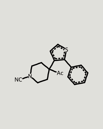 CC(=O)C1(c2ccsc2-c2ccccc2)CCN(C#N)CC1